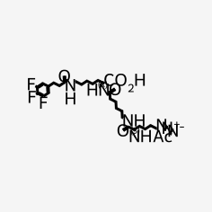 CC(=O)N[C@@H](CCCCN=[N+]=[N-])C(=O)NCCCCCC(=O)N[C@H](CCCCCNC(=O)CCc1cc(F)c(F)c(F)c1)C(=O)O